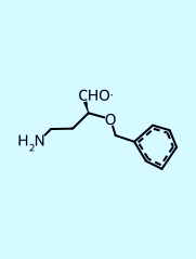 NCC[C@@H]([C]=O)OCc1ccccc1